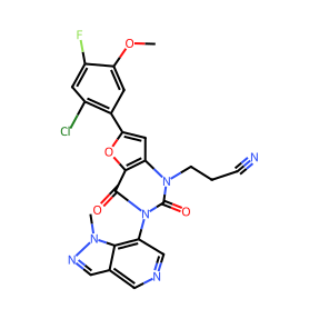 COc1cc(-c2cc3c(o2)c(=O)n(-c2cncc4cnn(C)c24)c(=O)n3CCC#N)c(Cl)cc1F